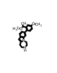 COc1ccc(-c2ccc3cc4n(c3c2)CCNCC4)c(C(C)OC)c1